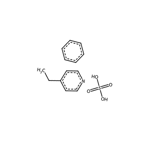 CCc1ccncc1.O=S(=O)(O)O.c1ccccc1